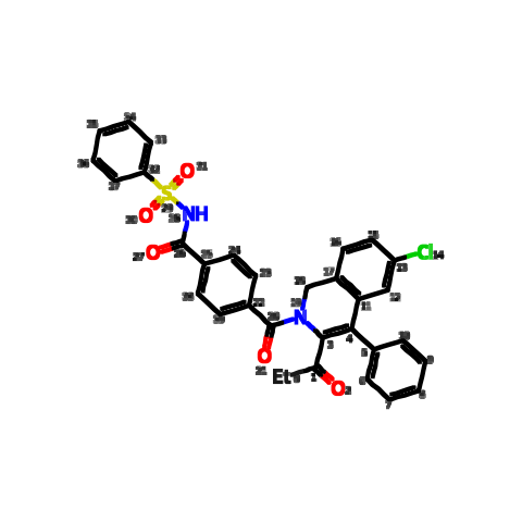 CCC(=O)C1=C(c2ccccc2)c2cc(Cl)ccc2CN1C(=O)c1ccc(C(=O)NS(=O)(=O)c2ccccc2)cc1